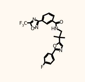 CC(C)(CNC(=O)c1cccc(-c2noc(C(F)(F)F)n2)c1)c1cnc(-c2ccc(F)cc2)o1